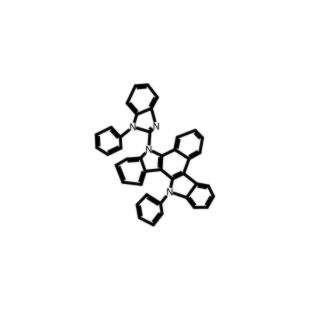 c1ccc(-n2c(-n3c4ccccc4c4c3c3ccccc3c3c5ccccc5n(-c5ccccc5)c34)nc3ccccc32)cc1